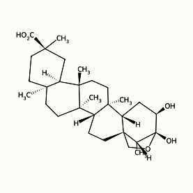 C[C@@H]1[C@@]23CC[C@H]4[C@@](C)(CC[C@@]5(C)[C@@H]6C[C@](C)(C(=O)O)CC[C@]6(C)CC[C@]45C)[C@@H]2C[C@@H](O)[C@]1(O)OC3